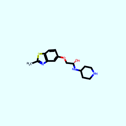 Cc1nc2cc(OC[C@H](O)NC3CCNCC3)ccc2s1